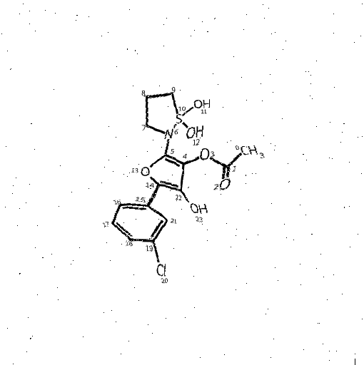 CC(=O)Oc1c(N2CCCS2(O)O)oc(-c2cccc(Cl)c2)c1O